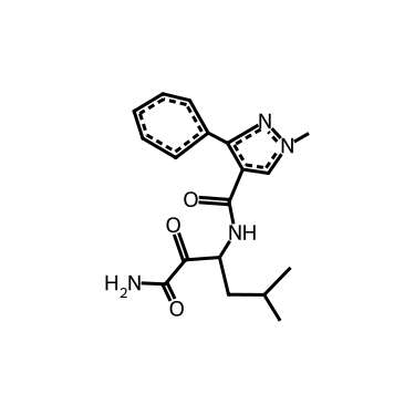 CC(C)CC(NC(=O)c1cn(C)nc1-c1ccccc1)C(=O)C(N)=O